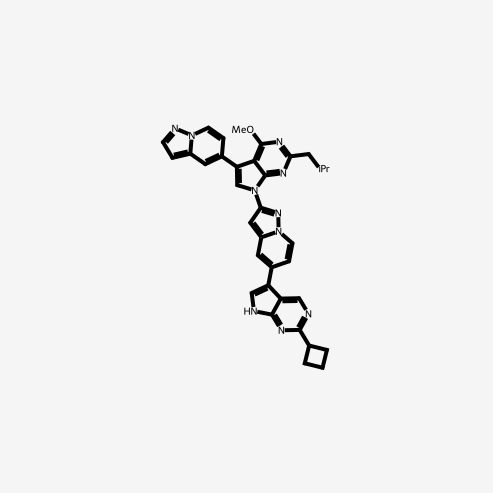 COc1nc(CC(C)C)nc2c1c(-c1ccn3nccc3c1)cn2-c1cc2cc(-c3c[nH]c4nc(C5CCC5)ncc34)ccn2n1